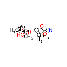 CC(C)(O)O[C@@H](CCO[Si](C)(C)C(C)(C)C)COc1ccc2c(c1)C(C)(C)c1oc3cnccc3c1C2=O